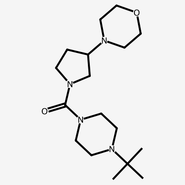 CC(C)(C)N1CCN(C(=O)N2CCC(N3CCOCC3)C2)CC1